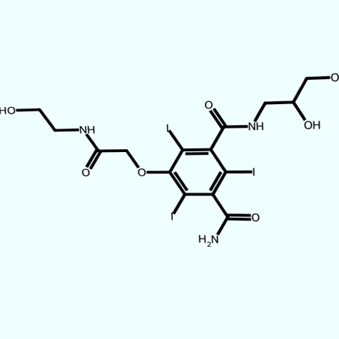 NC(=O)c1c(I)c(OCC(=O)NCCO)c(I)c(C(=O)NCC(O)CO)c1I